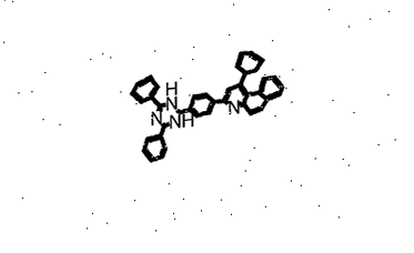 C1=CCC(c2cc(-c3ccc(C4NC(c5ccccc5)=NC(c5ccccc5)N4)cc3)nc3ccc4ccccc4c23)C=C1